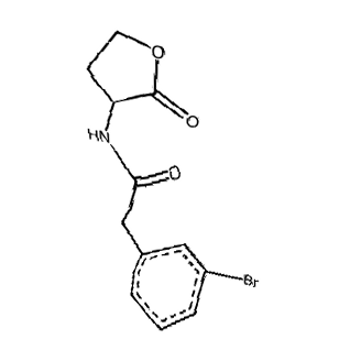 O=C(Cc1cccc(Br)c1)NC1CCOC1=O